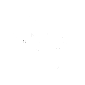 C1#CCc2c(ccc3c2Oc2c(ccc4ccccc24)C32c3ccccc3-c3c(-c4nc(-c5ccccc5)c5ccccc5n4)cccc32)C=C1